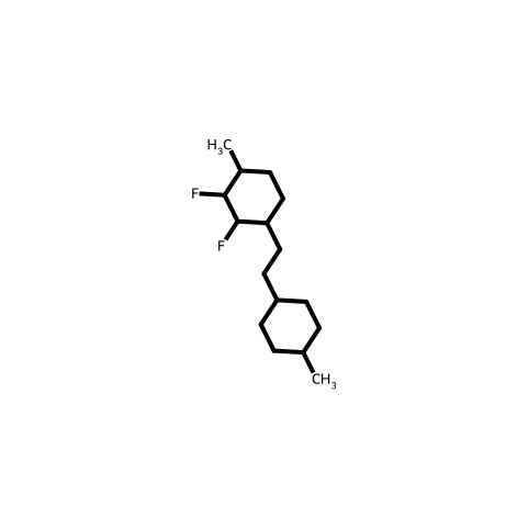 CC1CCC(CCC2CCC(C)C(F)C2F)CC1